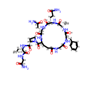 CC[C@H](C)[C@@H]1NC(=O)[C@H](Cc2ccccc2)NC(=O)CNC(=O)CCC(C(=O)N2CC[C@H]2C(=O)N[C@@H](CC(C)C)C(=O)NCC(N)=O)NC(=O)[C@H](CC(N)=O)NC(=O)[C@H](CCC(N)=O)NC1=O